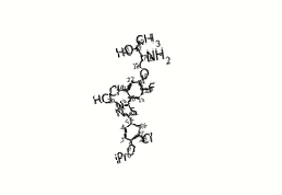 CC(C)Oc1ccc(-c2nnc(-c3cc(F)c(OC[C@@H](N)[C@H](C)O)cc3Cl)s2)cc1Cl.Cl